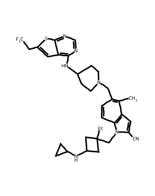 CCC1(Cn2c(C#N)cc3c(C)c(CN4CCC(Nc5ncnc6sc(CC(F)(F)F)cc56)CC4)ccc32)CC(NC2CC2)C1